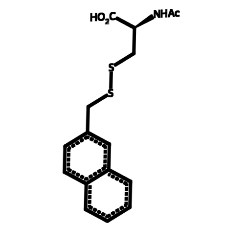 CC(=O)N[C@@H](CSSCc1ccc2ccccc2c1)C(=O)O